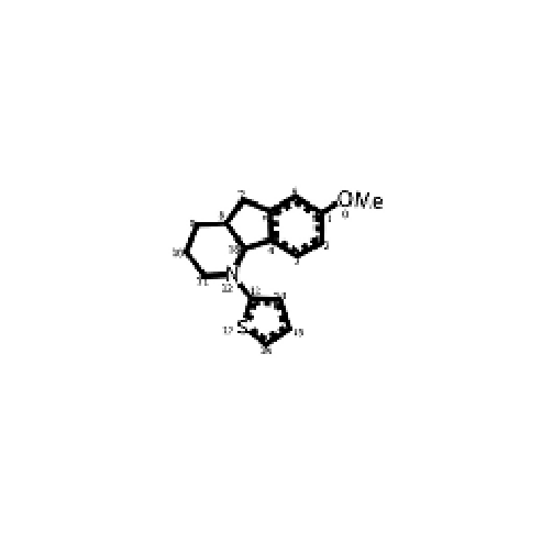 COc1ccc2c(c1)CC1CCCN(c3cccs3)C21